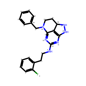 Fc1ccccc1CCNc1nc2c3c(n1)N(Cc1ccccc1)CCC3NN2